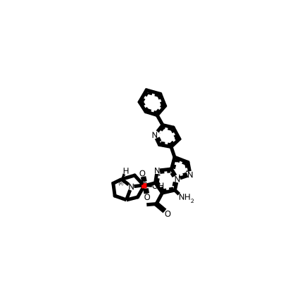 CC(=O)c1c(C2CC3CC[C@H](C2)N3S(=O)(=O)O)nc2c(-c3ccc(-c4ccccc4)nc3)cnn2c1N